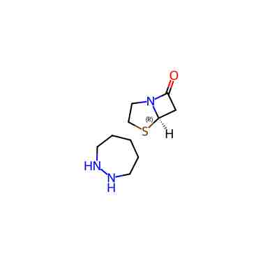 C1CCNNCC1.O=C1C[C@H]2SCCN12